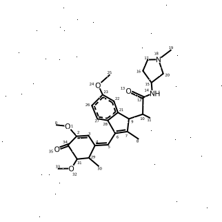 COC1=CC(=CC2=C(C)C(C(C)C(=O)NC3CCN(C)C3)c3cc(OC)ccc32)C(C)C(OC)C1=O